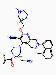 C=C(F)C(=O)N1CCN(c2c(C#N)c(OC[C@@]3(F)CCCN(C)C3)nc3c2CCN(c2cccc4cccc(C)c24)C3)C[C@@H]1CC#N